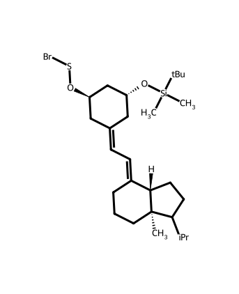 CC(C)C1CC[C@H]2/C(=C/C=C3/C[C@@H](OSBr)C[C@H](O[Si](C)(C)C(C)(C)C)C3)CCC[C@]12C